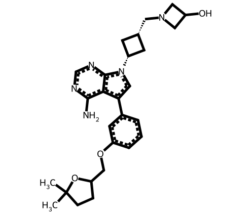 CC1(C)CCC(COc2cccc(-c3cn([C@H]4C[C@@H](CN5CC(O)C5)C4)c4ncnc(N)c34)c2)O1